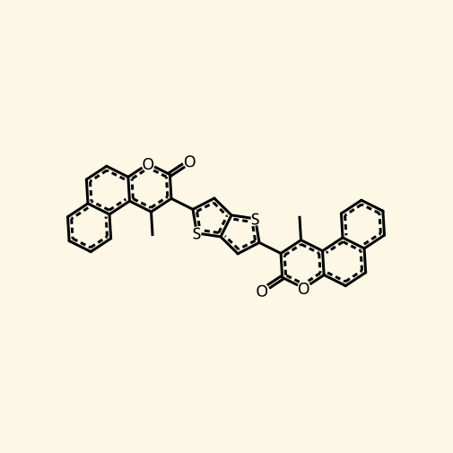 Cc1c(-c2cc3sc(-c4c(C)c5c(ccc6ccccc65)oc4=O)cc3s2)c(=O)oc2ccc3ccccc3c12